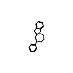 c1ccc(N2CCCN3c4ccccc4CC3C2)cc1